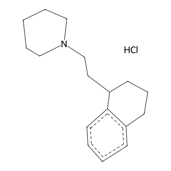 Cl.c1ccc2c(c1)CCCC2CCN1CCCCC1